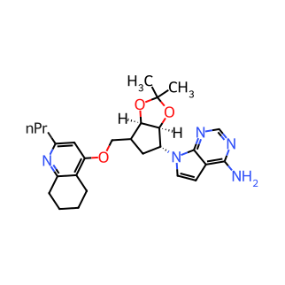 CCCc1cc(OCC2C[C@@H](n3ccc4c(N)ncnc43)[C@@H]3OC(C)(C)O[C@H]23)c2c(n1)CCCC2